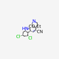 CCOC(=O)c1[nH]c2cc(Cl)cc(Cl)c2c1/C=C(/C#N)c1ccncc1